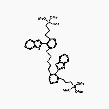 CO[Si](CCCc1cccc(SSSSSc2cccc(CCC[Si](OC)(OC)OC)c2-c2nc3ccccc3s2)c1-c1nc2ccccc2s1)(OC)OC